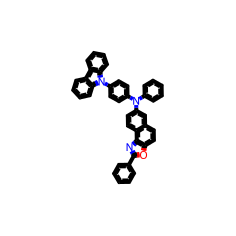 c1ccc(-c2nc3c(ccc4cc(N(c5ccccc5)c5ccc(-n6c7ccccc7c7ccccc76)cc5)ccc43)o2)cc1